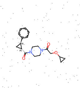 O=C(COC1CC1)N1CCN(C(=O)[C@@H]2C[C@H]2c2ccccc2)CC1